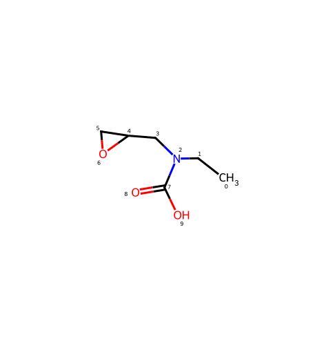 CCN(CC1CO1)C(=O)O